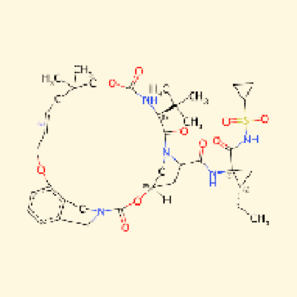 CC[C@H]1C[C@@]1(NC(=O)C1C[C@@H]2CN1C(=O)[C@H](C(C)(C)C)NC(=O)OCC(C)(C)C/C=C/COc1cccc3c1CN(C3)C(=O)O2)C(=O)NS(=O)(=O)C1CC1